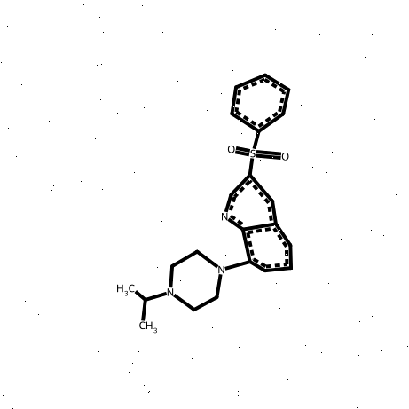 CC(C)N1CCN(c2cccc3cc(S(=O)(=O)c4ccccc4)cnc23)CC1